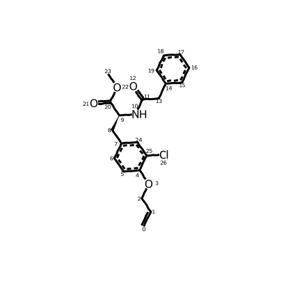 C=CCOc1ccc(C[C@H](NC(=O)Cc2ccccc2)C(=O)OC)cc1Cl